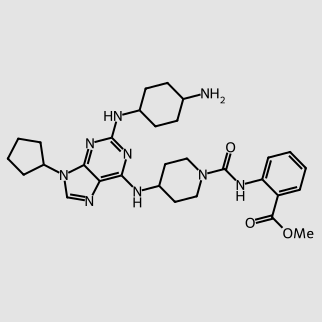 COC(=O)c1ccccc1NC(=O)N1CCC(Nc2nc(NC3CCC(N)CC3)nc3c2ncn3C2CCCC2)CC1